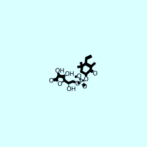 C=CC1=C(C)C(=O)C(OP(=O)(OC)OC[C@H](O)[C@H]2OC(=O)C(O)=C2O)CC1(C)C